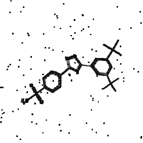 CC(C)(C)c1cc(-c2nc(-c3ccc(S(N)(=O)=O)cc3)no2)cc(C(C)(C)C)c1